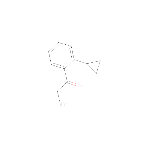 CC(C)CC(=O)c1ccccc1C1CC1